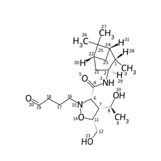 C[C@@H]1[C@@H](NC(=O)[C@@H]2[C@H]([C@H](C)O)[C@H](CO)ON2CCCC=O)C[C@H]2C[C@@H]1C2(C)C